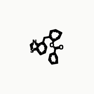 O=C(Oc1ccccc1Cc1cccc2scnc12)c1ccccc1